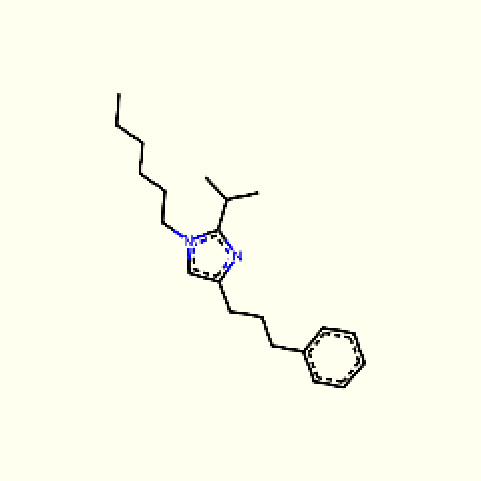 CCCCCCn1cc(CCCc2ccccc2)nc1C(C)C